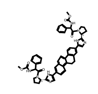 COC(=O)NC(C(=O)N1CCC[C@H]1c1ncc(-c2ccc3c(c2)CCc2c-3ccc3cc(-c4cnc([C@@H]5CCCN5C(=O)C(NC(=O)OC)c5ccccc5)[nH]4)ccc23)[nH]1)c1ccccc1